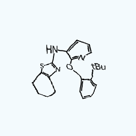 CC(C)(C)c1ccccc1Oc1ncccc1Nc1nc2c(s1)CCCC2